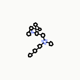 c1ccc(-c2ccc(-c3ccc(-c4nc(-c5ccccc5)nc(-c5cccc(-c6ccc7c(c6)C6(c8ccccc8-c8ccccc86)c6cccc8c9ccccc9n-7c68)c5)n4)cc3)cc2)cc1